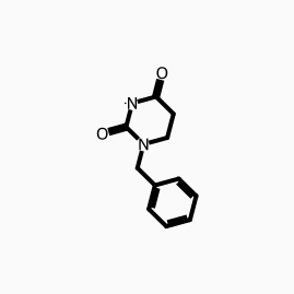 O=C1CCN(Cc2ccccc2)C(=O)[N]1